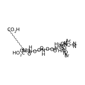 CC(=O)c1nn(CC(=O)N2[C@H](C(=O)Nc3nc(Br)ccc3C)C[C@@]3(CNC(=O)COCCOCCNC(=O)COCCOCCNC(=O)CC[C@H](NC(=O)CCCCCCCCCCCCCCCCC(=O)O)C(=O)O)C[C@@H]23)c2ccc(-c3cnc(C)nc3)cc12